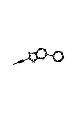 CC#Cc1nc2cc(-c3ccccc3)ccc2[nH]1